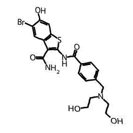 NC(=O)c1c(NC(=O)c2ccc(CN(CCO)CCO)cc2)sc2cc(O)c(Br)cc12